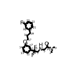 CN(C)C(=O)CNCC(F)(F)c1cccc(OCCCc2cccc(F)c2)c1